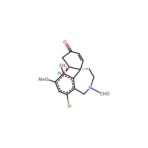 COc1cc(Br)c2c(c1C)[C@@]1(C=CC(=O)C[C@@H]1C)CCN(C=O)C2